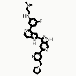 CN(C)CCNc1cc(F)cc(-c2nccc3[nH]c(-c4n[nH]c5cnc(-c6cncc(CN7CCCC7)c6)cc45)cc23)c1